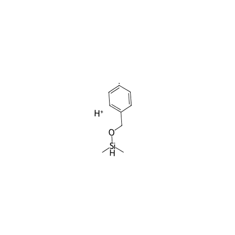 C[SiH](C)OCc1cc[c]cc1.[H+]